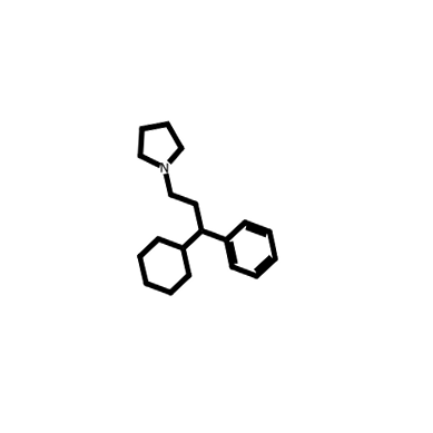 c1ccc(C(CCN2CCCC2)C2CCCCC2)cc1